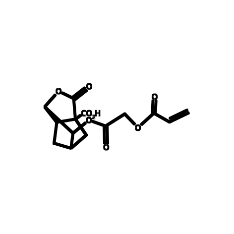 C=CC(=O)OCC(=O)OC1C2CC3C1OC(=O)C3(C(=O)O)C2